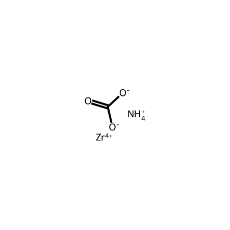 O=C([O-])[O-].[NH4+].[Zr+4]